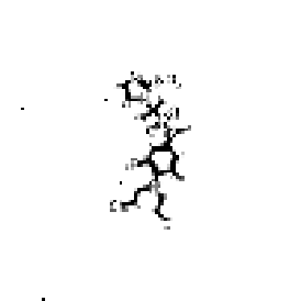 CN(c1cc(F)c(N(CCCl)CCCl)c(F)c1)S(=O)(=O)C(C)(C)n1ccnc1[N+](=O)[O-]